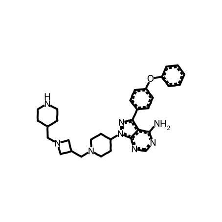 Nc1ncnc2c1c(-c1ccc(Oc3ccccc3)cc1)nn2C1CCN(CC2CN(CC3CCNCC3)C2)CC1